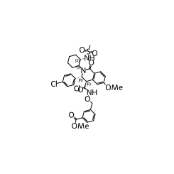 COC(=O)c1cccc(CONC(=O)[C@@H]2c3cc(OC)ccc3C(=O)N([C@H]3CCCC[C@@H]3NS(C)(=O)=O)[C@H]2c2ccc(Cl)cc2Cl)c1